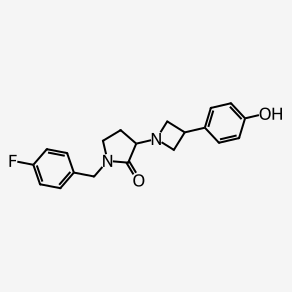 O=C1C(N2CC(c3ccc(O)cc3)C2)CCN1Cc1ccc(F)cc1